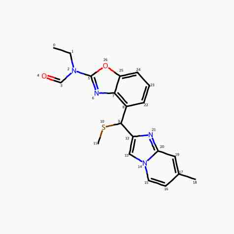 CCN(C=O)c1nc2c(C(SC)c3cn4ccc(C)cc4n3)cccc2o1